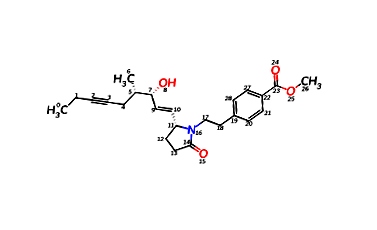 CCC#CC[C@H](C)[C@H](O)/C=C/[C@H]1CCC(=O)N1CCc1ccc(C(=O)OC)cc1